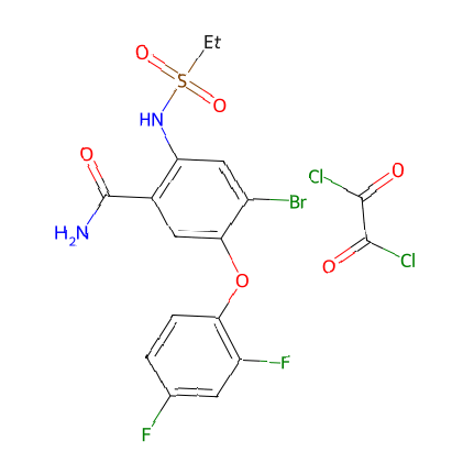 CCS(=O)(=O)Nc1cc(Br)c(Oc2ccc(F)cc2F)cc1C(N)=O.O=C(Cl)C(=O)Cl